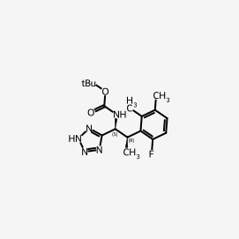 Cc1ccc(F)c([C@@H](C)[C@H](NC(=O)OC(C)(C)C)c2nn[nH]n2)c1C